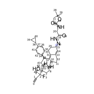 C#CC(F)(F)[C@]1(O)CC[C@H]2[C@@H]3CCC4=C/C(=N/NC(=O)CNC(=O)OC(C)(C)C)CCC4=C3[C@H](c3ccc(C4CC4)cc3)C[C@@]21C